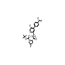 CC(C)(C)OC(=O)N1C[C@H](F)C[C@H]1C(=O)NCc1cc(-c2ccc(C(F)F)cc2)c(F)cn1